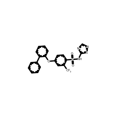 O=S(=O)(Nc1ncns1)c1ccc(Oc2ccccc2-c2ccccc2)cc1C(F)(F)F